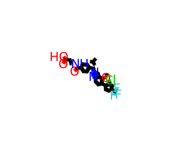 COc1c(-c2ccc(C(F)(F)F)cc2Cl)ccc2nn([C@@H](CC(C)C)c3ccc(C(=O)NCCC(=O)O)cc3)cc12